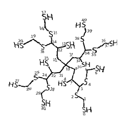 SCSC(SCS)C(S)CC(CC(S)C(SCS)SCS)(CC(S)C(SCS)SCS)CC(S)C(SCS)SCS